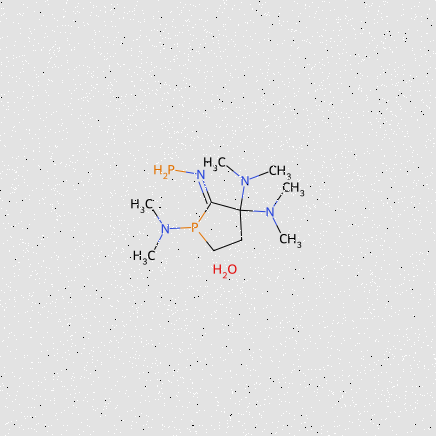 CN(C)P1CCC(N(C)C)(N(C)C)C1=NP.O